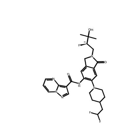 CC(C)(O)[C@H](F)CN1Cc2cc(NC(=O)c3cnn4cccnc34)c(N3CCC(CC(F)F)CC3)cc2C1=O